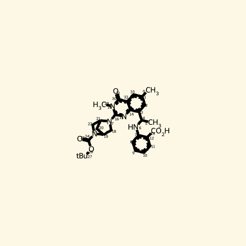 Cc1cc(C(C)Nc2ccccc2C(=O)O)c2nc(N3CC4CC3CN4C(=O)OC(C)(C)C)n(C)c(=O)c2c1